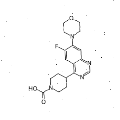 O=C(O)N1CCC(c2ncnc3cc(N4CCOCC4)c(F)cc23)CC1